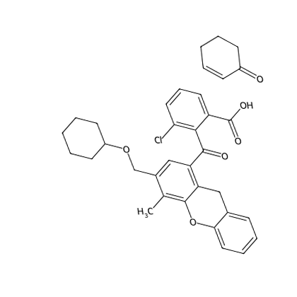 Cc1c(COC2CCCCC2)cc(C(=O)c2c(Cl)cccc2C(=O)O)c2c1Oc1ccccc1C2.O=C1C=CCCC1